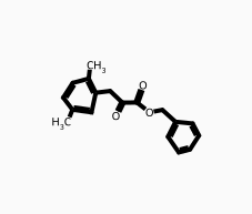 Cc1ccc(C)c(CC(=O)C(=O)OCc2ccccc2)c1